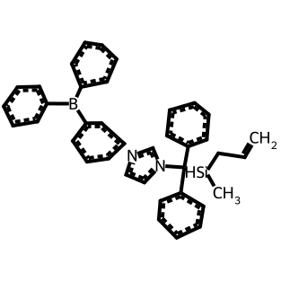 C=CC[SiH](C)C(c1ccccc1)(c1ccccc1)n1ccnc1.c1ccc(B(c2ccccc2)c2ccccc2)cc1